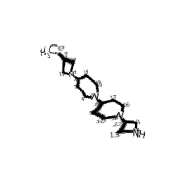 CC1CN(C2CCN(C3CCN(C4CNC4)CC3)CC2)C1